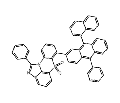 O=S1(=O)c2c(-c3ccc4c(-c5ccccc5)c5ccccc5c(-c5cccc6ccccc56)c4c3)cccc2-n2c(-c3ccccc3)nc3cccc1c32